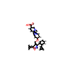 C[C@@H]1CC2CC(OCc3c(-c4ccccc4C4CC4)noc3C3CC3)CC1N2c1ccc(C(=O)O)cn1